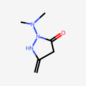 C=C1CC(=O)N(N(C)C)N1